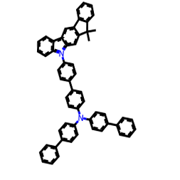 CC1(C)c2ccccc2-c2cc3c4ccccc4n(-c4ccc(-c5ccc(N(c6ccc(-c7ccccc7)cc6)c6ccc(-c7ccccc7)cc6)cc5)cc4)c3cc21